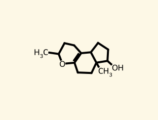 CC1CCC2=C(CCC3(C)C(O)CCC23)O1